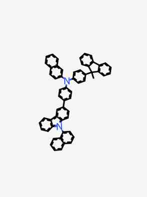 CC1(c2ccc(N(c3ccc(-c4ccc5c(c4)c4ccccc4n5-c4cccc5ccccc45)cc3)c3ccc4ccccc4c3)cc2)c2ccccc2-c2ccccc21